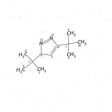 CC(C)(C)[C]1C=C(C(C)(C)C)N=N1